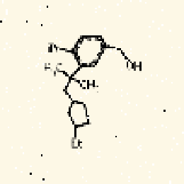 CCC1CCC(CC(C)(C)c2cc(CO)ccc2C(C)C)C1